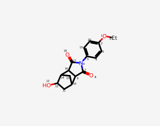 CCOc1ccc(N2C(=O)C3C4CC(O)C(C4)C3C2=O)cc1